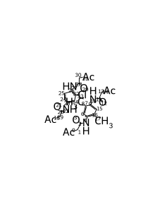 CC(=O)CC(=O)Nc1cc(C)c(NC(=O)CC(C)=O)cc1C.CC(=O)CC(=O)Nc1ccc(NC(=O)CC(C)=O)c(Cl)c1